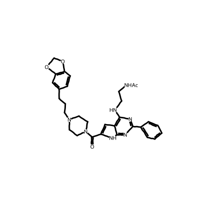 CC(=O)NCCNc1nc(-c2ccccc2)nc2[nH]c(C(=O)N3CCN(CCCc4ccc5c(c4)OCO5)CC3)cc12